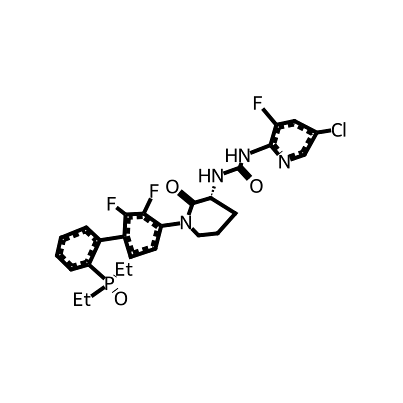 CCP(=O)(CC)c1ccccc1-c1ccc(N2CCC[C@@H](NC(=O)Nc3ncc(Cl)cc3F)C2=O)c(F)c1F